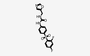 O=C(NCc1cnco1)Nc1ccc(S(=O)(=O)c2ccc(F)cc2F)cc1